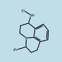 CCNC1CCN2c3c(cccc31)CCC2C(C)C